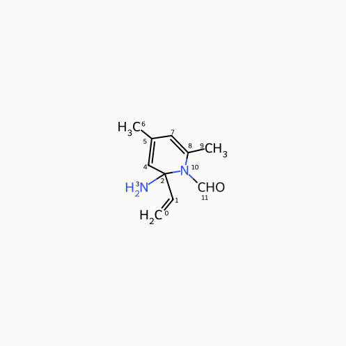 C=CC1(N)C=C(C)C=C(C)N1C=O